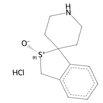 Cl.[O-][S@@+]1Cc2ccccc2C12CCNCC2